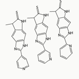 CC1C(=S)Nc2cc3[nH]c(-c4ccccn4)nc3cc21.CC1C(=S)Nc2cc3[nH]c(-c4cccnc4)nc3cc21.CC1C(=S)Nc2cc3[nH]c(-c4ccncc4)nc3cc21